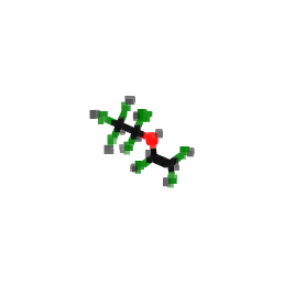 FC(F)=C(F)OC(F)(Br)C(F)(F)F